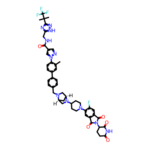 Cc1cc(-c2ccc(CN3C[C@@H]4C[C@H]3CN4C3CCN(c4cc5c(cc4F)C(=O)N(C4CCC(=O)NC4=O)C5=O)CC3)cc2)ccc1-n1cc(C(=O)NCc2nc(C(C)(C)C(F)(F)F)n[nH]2)cn1